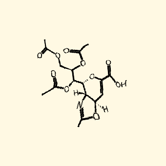 CC(=O)OC[C@@H](OC(C)=O)[C@H](OC(C)=O)[C@@H]1OC(C(=O)O)=C[C@H]2OC(C)=N[C@H]12